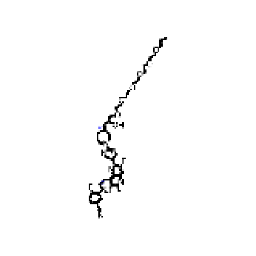 CCCOCCOCCOCCOCCOCCOCC(O)/C=C1/CCCN(c2ncc(-c3nc4c(/C=C\[C@H](C)c5cc(C#N)ccc5F)c(Cl)c(C)nc4cc3F)cn2)CC1